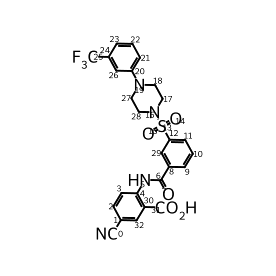 N#Cc1ccc(NC(=O)c2cccc(S(=O)(=O)N3CCN(c4cccc(C(F)(F)F)c4)CC3)c2)c(C(=O)O)c1